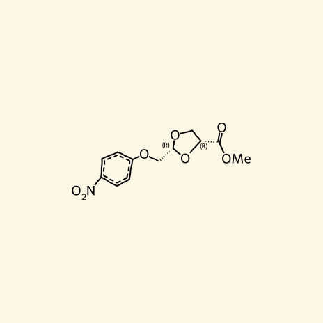 COC(=O)[C@H]1CO[C@@H](COc2ccc([N+](=O)[O-])cc2)O1